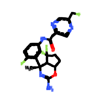 C[C@]1(c2cc(NC(=O)c3cnc(CF)cn3)ccc2F)N=C(N)OC2CCC(F)(F)C21